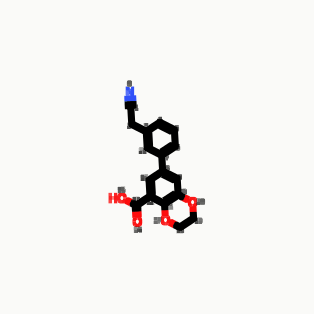 N#CCc1cccc(-c2cc3c(c(C(=O)O)c2)OCCO3)c1